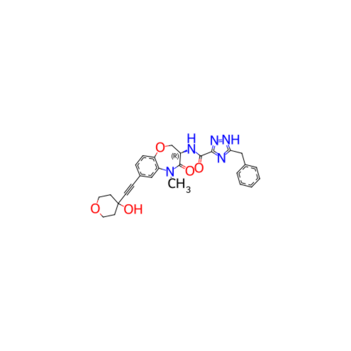 CN1C(=O)[C@H](NC(=O)c2n[nH]c(Cc3ccccc3)n2)COc2ccc(C#CC3(O)CCOCC3)cc21